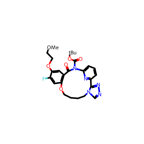 COCCOc1cc2c(cc1F)OCCCCn1cnnc1-c1cccc(n1)N(C(=O)OC(C)(C)C)C2=O